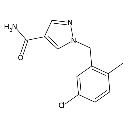 Cc1ccc(Cl)cc1Cn1cc(C(N)=O)cn1